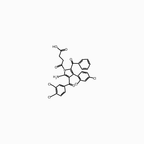 Nc1c(C(=O)c2ccc(Cl)c(Cl)c2)c(-c2ccc(Cl)cc2Cl)c(C(=O)c2ccccc2)n1C(=O)CCC(=O)O